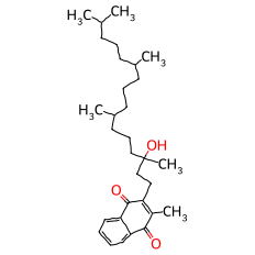 CC1=C(CCC(C)(O)CCCC(C)CCCC(C)CCCC(C)C)C(=O)c2ccccc2C1=O